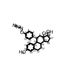 C[C@]12C[C@H](c3ccc(ON=[N+]=[N-])cc3)C3c4ccc(O)cc4CCC3C1CC[C@@H]2O